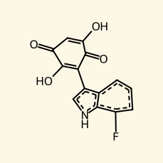 O=C1C=C(O)C(=O)C(c2c[nH]c3c(F)cccc23)=C1O